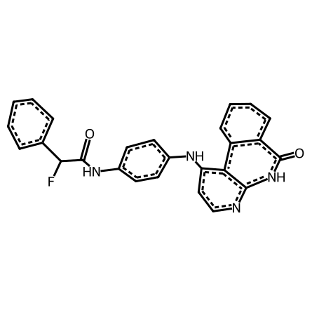 O=C(Nc1ccc(Nc2ccnc3[nH]c(=O)c4ccccc4c23)cc1)C(F)c1ccccc1